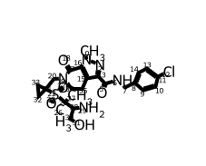 Cn1nc(C(=O)NCc2ccc(Cl)cc2)c2c1C(=O)N(CC1(S(=O)(=O)C(C)(C)C(N)CO)CC1)CC2